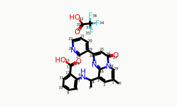 Cc1cc(C(C)Nc2ccccc2C(=O)O)c2nc(-c3cccnc3)cc(=O)n2c1.O=C(O)C(F)(F)F